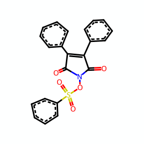 O=C1C(c2ccccc2)=C(c2ccccc2)C(=O)N1OS(=O)(=O)c1ccccc1